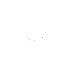 CCc1nc2c(F)cc(F)cn2c1-c1ccc(CCNC(=O)NS(=O)(=O)c2ccc(C)cc2)cc1